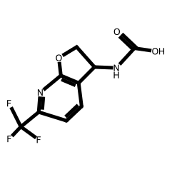 O=C(O)NC1COc2nc(C(F)(F)F)ccc21